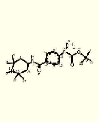 CN1C(C)(C)CC(NC(=O)c2ccc(N(N)C(=O)OC(C)(C)C)cc2)CC1(C)C